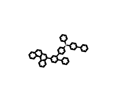 c1ccc(-c2ccc(N(c3ccccc3)c3ccc(-c4cc(-c5cc6ccc7ccccc7c6c6ccccc56)ccc4-c4ccccc4)cc3)cc2)cc1